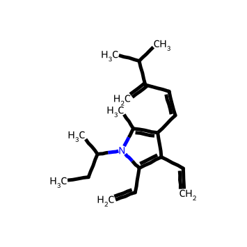 C=Cc1c(/C=C\C(=C)C(C)C)c(C)n(C(C)CC)c1C=C